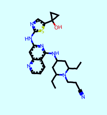 CCC1CC(Nc2nc(Nc3ncc(C4(O)CC4)s3)cc3ncccc23)CC(CC)N1CCC#N